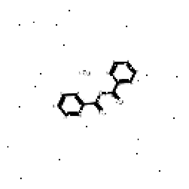 O=C(OC(=O)c1ccccc1)c1ccccc1.[Cu]